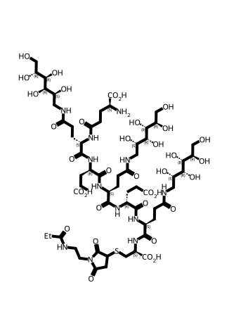 CCC(=O)NCCN1C(=O)CC(SC[C@@H](NC(=O)[C@H](CCC(=O)NC[C@H](O)[C@@H](O)[C@H](O)[C@H](O)CO)NC(=O)[C@@H](CCC(=O)O)NC(=O)[C@H](CCC(=O)NC[C@H](O)[C@@H](O)[C@H](O)[C@H](O)CO)NC(=O)[C@@H](CCC(=O)O)NC(=O)[C@H](CCC(=O)NC[C@H](O)[C@@H](O)[C@H](O)[C@H](O)CO)NC(=O)CC[C@H](N)C(=O)O)C(=O)O)C1=O